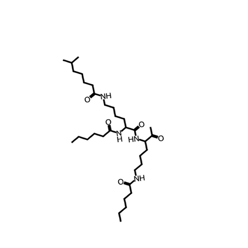 CCCCCC(=O)NCCCCC(NC(=O)C(CCCCNC(=O)CCCCC(C)C)NC(=O)CCCCC)C(C)=O